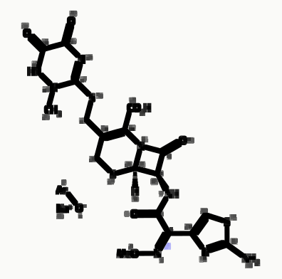 CC(=O)[O-].CO/N=C(\C(=O)N[C@@H]1C(=O)N2C(C(=O)O)=C(CSc3nc(=O)c(=O)[nH]n3C)CS[C@H]12)c1csc(N)n1.[Na+]